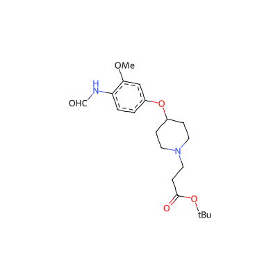 COc1cc(OC2CCN(CCC(=O)OC(C)(C)C)CC2)ccc1NC=O